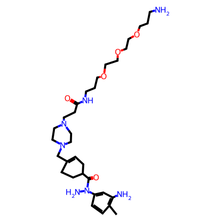 Cc1ccc(N(N)C(=O)C2CC=C(CN3CCN(CCC(=O)NCCCOCCOCCOCCCN)CC3)CC2)cc1N